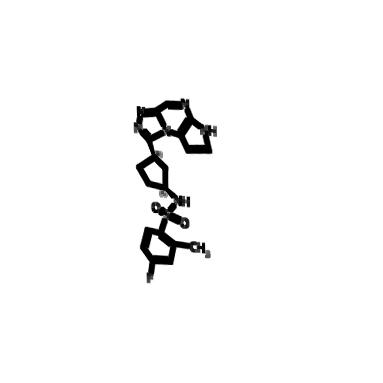 Cc1cc(F)ccc1S(=O)(=O)N[C@H]1CC[C@@H](c2nnc3cnc4[nH]ccc4n23)C1